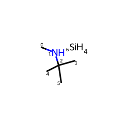 CNC(C)(C)C.[SiH4]